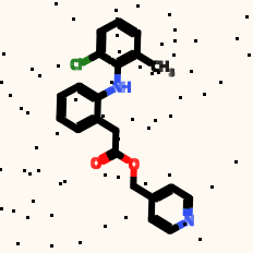 Cc1cccc(Cl)c1Nc1ccccc1CC(=O)OCc1ccncc1